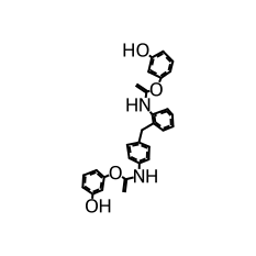 C=C(Nc1ccc(Cc2ccccc2NC(=C)Oc2cccc(O)c2)cc1)Oc1cccc(O)c1